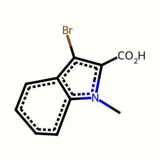 Cn1c(C(=O)O)c(Br)c2ccccc21